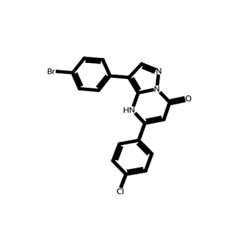 O=c1cc(-c2ccc(Cl)cc2)[nH]c2c(-c3ccc(Br)cc3)cnn12